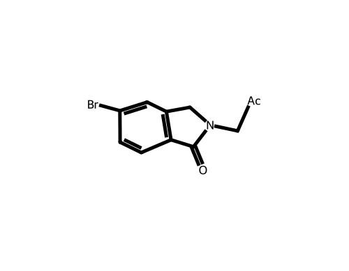 CC(=O)CN1Cc2cc(Br)ccc2C1=O